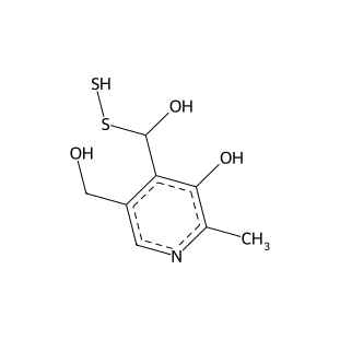 Cc1ncc(CO)c(C(O)SS)c1O